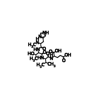 CNC(Cc1c[nH]cn1)C(=O)NC(C(=O)NC(C(=O)NC(CCC(=O)O)C(=O)O)C(C)C)C(C)O